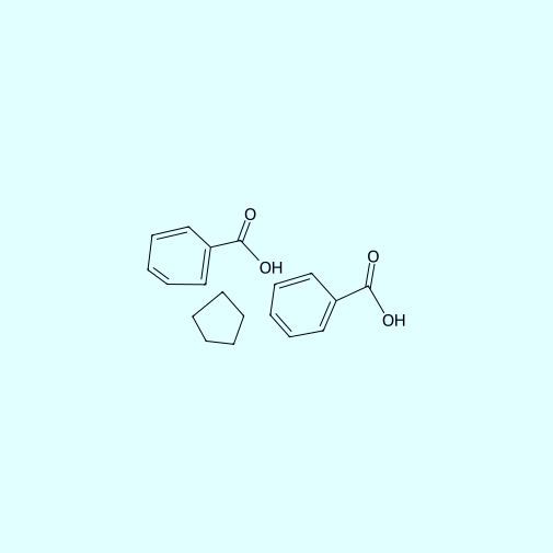 C1CCCC1.O=C(O)c1ccccc1.O=C(O)c1ccccc1